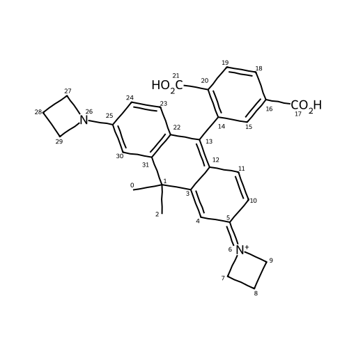 CC1(C)C2=CC(=[N+]3CCC3)C=CC2=C(c2cc(C(=O)O)ccc2C(=O)O)c2ccc(N3CCC3)cc21